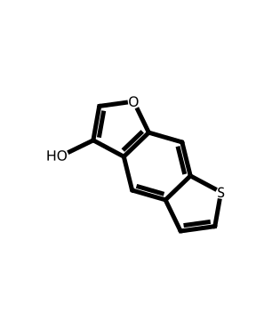 Oc1coc2cc3sccc3cc12